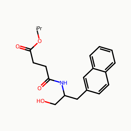 CC(C)OC(=O)CCC(=O)NC(CO)Cc1ccc2ccccc2c1